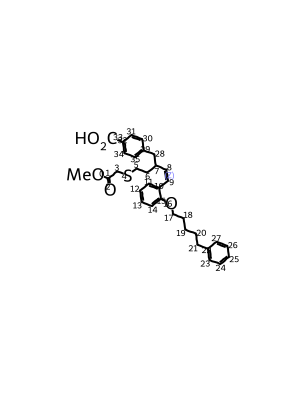 COC(=O)CSCCC(/C=C\c1ccccc1OCCCCCc1ccccc1)Cc1ccc(C(=O)O)cc1